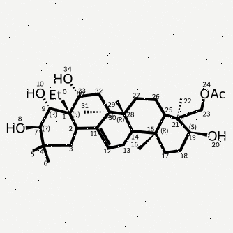 CC[C@@]12C(CC(C)(C)[C@@H](O)[C@@H]1O)C1=CCC3[C@@]4(C)CC[C@H](O)[C@](C)(COC(C)=O)C4CC[C@@]3(C)[C@]1(C)C[C@H]2O